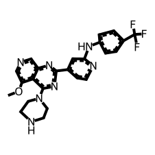 COc1cncc2nc(-c3ccnc(Nc4ccc(C(F)(F)F)cc4)c3)nc(N3CCNCC3)c12